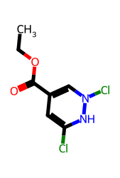 CCOC(=O)C1=CN(Cl)NC(Cl)=C1